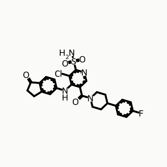 NS(=O)(=O)c1ncc(C(=O)N2CCC(c3ccc(F)cc3)CC2)c(Nc2ccc3c(c2)CCC3=O)c1Cl